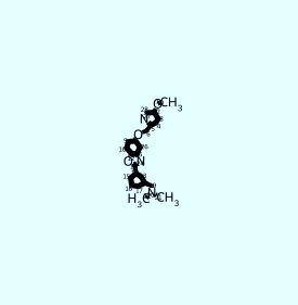 COc1ccc(COc2ccc3oc(-c4cccc(CN(C)C)c4)nc3c2)nc1